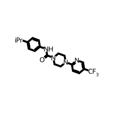 CC(C)c1ccc(NC(=O)N2CCN(c3ccc(C(F)(F)F)cn3)CC2)cc1